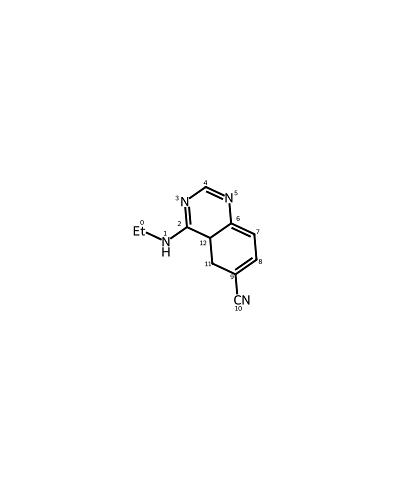 CCNC1=NC=NC2=CC=C(C#N)CC21